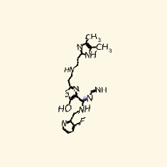 Cc1nc(CCNCCc2nc(/C(=N\C=N)NCc3ncccc3F)c(O)s2)[nH]c1C